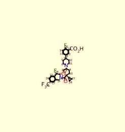 O=C(O)c1cc(C2CCN([C@@H]3CC[C@@](C(=O)N4Cc5cc(C(F)(F)F)ccc5C(F)C4)(C4CC4)OC3)CC2)ccc1F